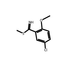 COc1ccc(Cl)cc1C(=N)SC